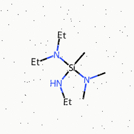 CCN[Si](C)(N(C)C)N(CC)CC